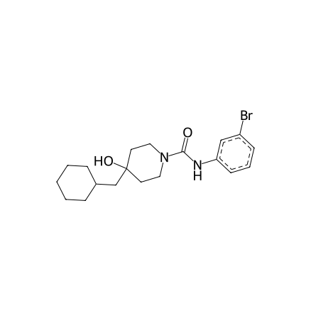 O=C(Nc1cccc(Br)c1)N1CCC(O)(CC2CCCCC2)CC1